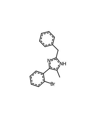 Cc1[nH]c(Cc2ccccc2)nc1-c1ccccc1Br